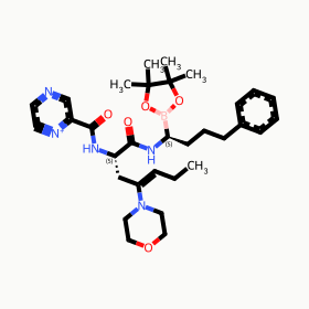 CCC=C(C[C@H](NC(=O)c1cncc#[n+]1)C(=O)N[C@H](CCCc1ccccc1)B1OC(C)(C)C(C)(C)O1)N1CCOCC1